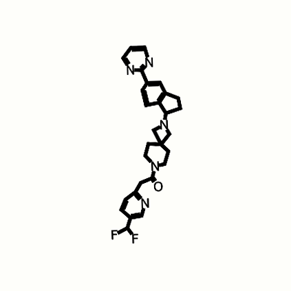 O=C(Cc1ccc(C(F)F)cn1)N1CCC2(CC1)CN(C1CCc3cc(-c4ncccn4)ccc31)C2